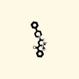 O=C(c1ccccc1)C(CC(F)N1CCC(c2ccccc2)CC1)[N+](=O)[O-]